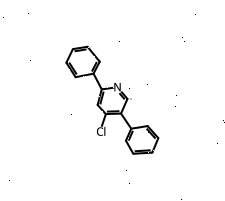 Clc1cc(-c2ccccc2)n[c]c1-c1ccccc1